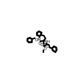 CCOC(=O)C(CCc1ccccc1)NC1(C=C=O)CCc2ccccc2N(OCc2ccccc2)C1=O